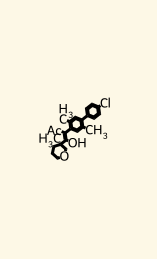 CC(=O)/C(=C(/O)C1(C)CCCOC1)c1cc(C)c(-c2ccc(Cl)cc2)cc1C